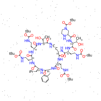 CC(C)C[C@@H]1NC(=O)[C@@H](Cc2ccccc2)NC(=O)[C@H](CCNC(=O)OC(C)(C)C)NC(=O)[C@@H](NC(=O)[C@H](CCNC(=O)OC(C)(C)C)NC(=O)[C@@H](NC(=O)C2CN(C(=O)OC(C)(C)C)CCN2)C(C)O)CCNC(=O)[C@H](C(C)O)NC(=O)[C@H](CCNC(=O)OC(C)(C)C)NC(=O)[C@H](CCNC(=O)OC(C)(C)C)NC1=O